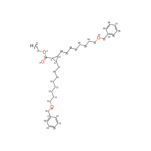 CCOC(=O)C1C(CCCCCCCCOCc2ccccc2)C1CCCCCCCCOCc1ccccc1